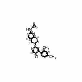 Cc1cnc(-c2cc(N3CCc4nc(NC5CC5)ncc4C3)ncc2Cl)c(C)c1